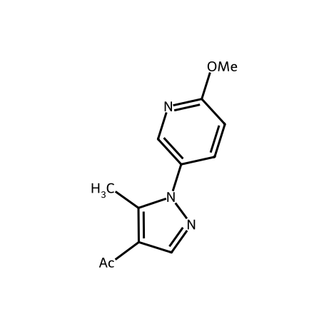 COc1ccc(-n2ncc(C(C)=O)c2C)cn1